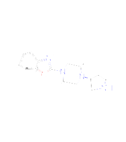 [CH]1C[C@H](N2CCN(c3nc4ccccc4o3)CC2)CN1